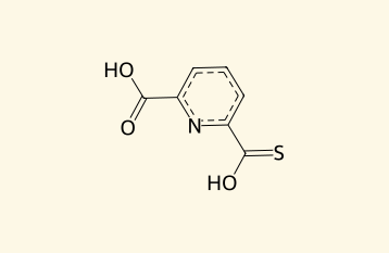 O=C(O)c1cccc(C(O)=S)n1